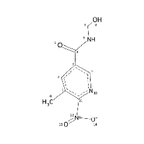 Cc1cc(C(=O)NCO)cnc1[N+](=O)[O-]